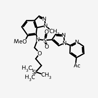 COc1ccc2cnn(C)c2c1N(COCC[Si](C)(C)C)S(=O)(=O)c1cnn(-c2cc(C(C)=O)ccn2)c1